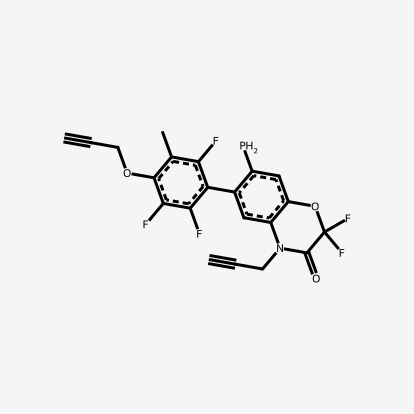 C#CCOc1c(C)c(F)c(-c2cc3c(cc2P)OC(F)(F)C(=O)N3CC#C)c(F)c1F